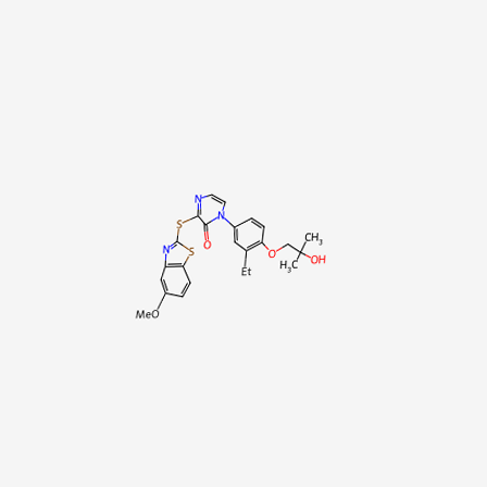 CCc1cc(-n2ccnc(Sc3nc4cc(OC)ccc4s3)c2=O)ccc1OCC(C)(C)O